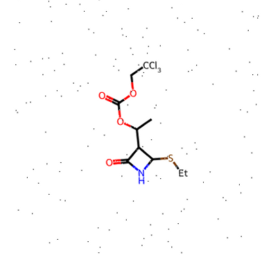 CCSC1NC(=O)C1C(C)OC(=O)OCC(Cl)(Cl)Cl